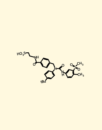 Cc1ccc(NC(=O)N(Cc2ccc(C(=O)NCCS(=O)(=O)O)cc2)c2ccc(C(C)(C)C)cc2)cc1S(C)(=O)=O